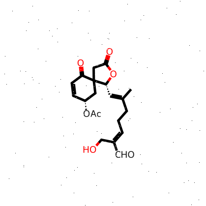 CC(=O)O[C@@H]1C=CC(=O)C2(CC(=O)O[C@@H]2/C=C(\C)CC/C=C(/C=O)CO)C1